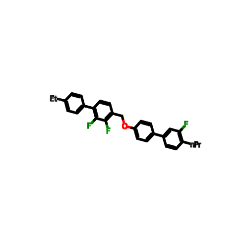 CCCc1ccc(-c2ccc(OCc3ccc(-c4ccc(CC)cc4)c(F)c3F)cc2)cc1F